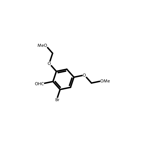 COCOc1cc(Br)c(C=O)c(OCOC)c1